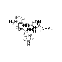 CC(=O)NCC(=O)N[C@@H](CO)C(=O)N[C@@H](Cc1c[nH]cn1)C(=O)N[C@@H](CC(C)C)C(N)=O